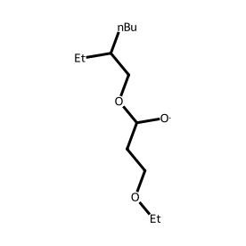 CCCCC(CC)COC([O])CCOCC